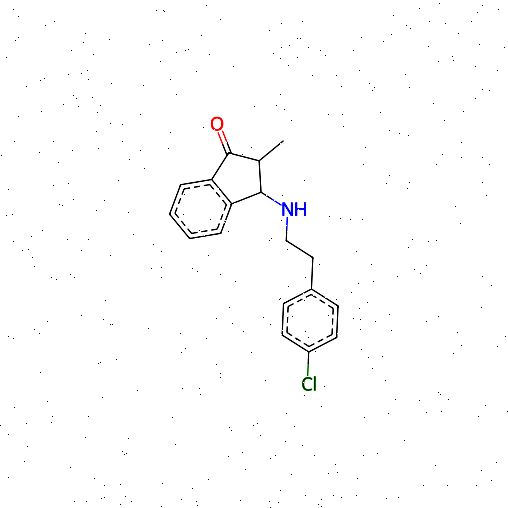 CC1C(=O)c2ccccc2C1NCCc1ccc(Cl)cc1